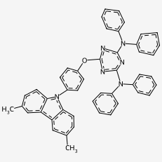 Cc1ccc2c(c1)c1cc(C)ccc1n2-c1ccc(Oc2nc(N(c3ccccc3)c3ccccc3)nc(N(c3ccccc3)c3ccccc3)n2)cc1